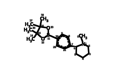 CN1CCCC[C@H]1c1ccc(B2OC(C)(C)C(C)(C)O2)cc1